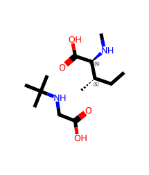 CC(C)(C)NCC(=O)O.CC[C@H](C)[C@H](NC)C(=O)O